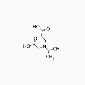 CC(C)N(CCC(=O)O)CC(=O)O